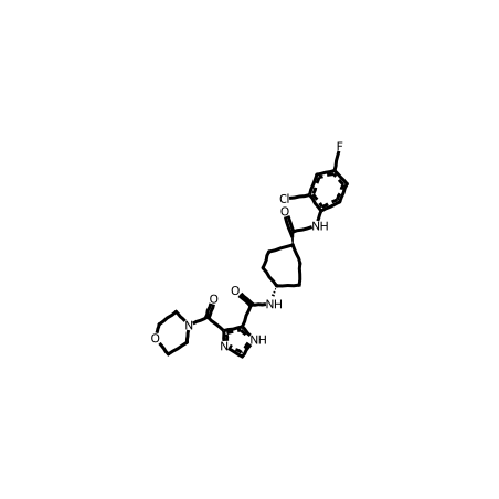 O=C(N[C@H]1CC[C@H](C(=O)Nc2ccc(F)cc2Cl)CC1)c1[nH]cnc1C(=O)N1CCOCC1